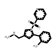 CNCc1cc(-c2ccccc2C)n(S(=O)(=O)c2cccnc2)c1